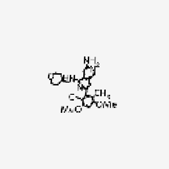 COc1cc(OC)c(Cl)c(-c2cc3cnc(N)cc3c(NCC3CCOCC3)n2)c1C